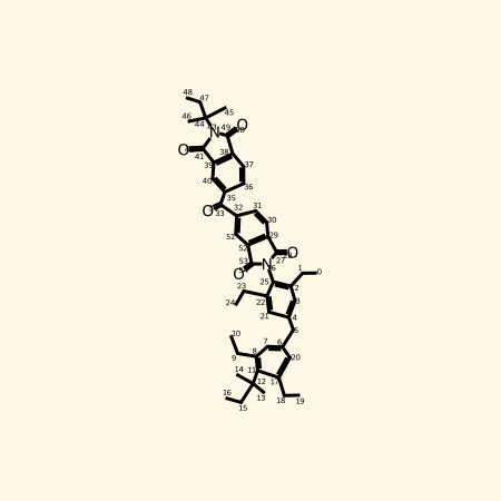 CCc1cc(Cc2cc(CC)c(C(C)(C)CC)c(CC)c2)cc(CC)c1N1C(=O)c2ccc(C(=O)c3ccc4c(c3)C(=O)N(C(C)(C)CC)C4=O)cc2C1=O